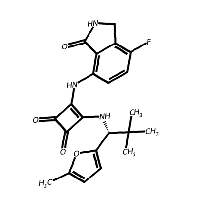 Cc1ccc([C@H](Nc2c(Nc3ccc(F)c4c3C(=O)NC4)c(=O)c2=O)C(C)(C)C)o1